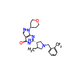 C[C@@H]1CN(Cc2ccccc2C(F)(F)F)C[C@H]1c1nc2c(cnn2C2CCOCC2)c(=O)[nH]1